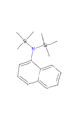 C[Si](C)(C)N(c1cc[c]c2ccccc12)[Si](C)(C)C